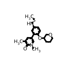 CSNc1ccc(OC2CCCOC2)c(-c2cc(C)c(=O)n(C)c2)c1